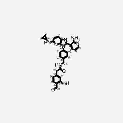 Nc1ncccc1-c1nc2ccc(NC3CC3)nc2n1-c1ccc(CNC(=O)Cc2ccc(C=O)c(O)c2)cc1